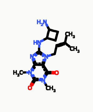 CC(C)=CCn1c(NC2CCC2N)nc2c1c(=O)n(C)c(=O)n2C